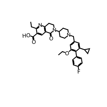 CCOc1cc(CN2CCC(N3CCc4nc(CC)c(C(=O)O)cc4C3=O)CC2)cc(C2CC2)c1-c1ccc(F)cc1